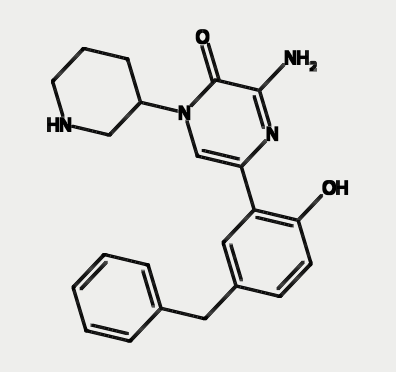 Nc1nc(-c2cc(Cc3ccccc3)ccc2O)cn(C2CCCNC2)c1=O